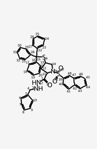 O=C(NNCc1ccccc1)C1CC(SC(c2ccccc2)(c2ccccc2)c2ccccc2)CN1S(=O)(=O)c1ccc2ccccc2c1